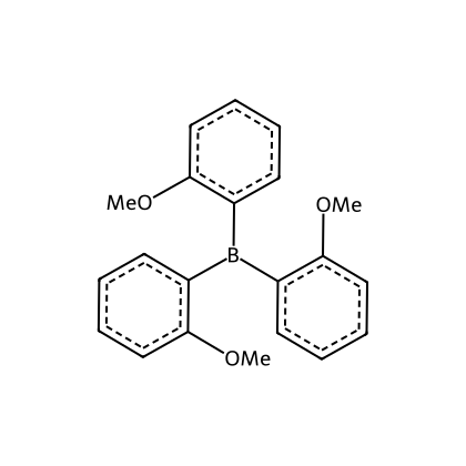 COc1ccccc1B(c1ccccc1OC)c1ccccc1OC